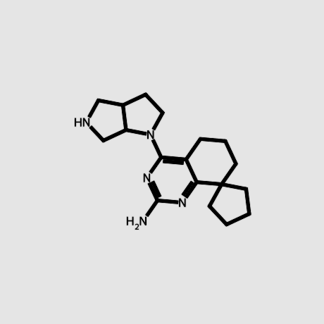 Nc1nc(N2CCC3CNCC32)c2c(n1)C1(CCCC1)CCC2